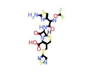 Nc1nc(/C(=N\OC(F)F)C(=O)NC2C(=O)N3C(C(=O)O)=C(CSc4cnsn4)CS[C@H]23)cs1